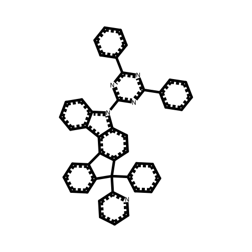 c1ccc(-c2nc(-c3ccccc3)nc(-n3c4ccccc4c4c5c(ccc43)C(c3ccccc3)(c3ccccn3)c3ccccc3-5)n2)cc1